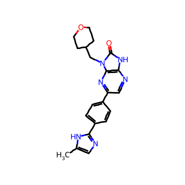 Cc1cnc(-c2ccc(-c3cnc4[nH]c(=O)n(CC5CCOCC5)c4n3)cc2)[nH]1